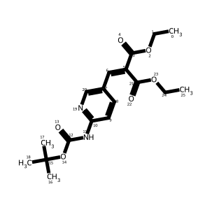 CCOC(=O)C(=Cc1ccc(NC(=O)OC(C)(C)C)nc1)C(=O)OCC